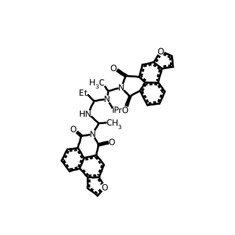 CCC(NC(C)N1C(=O)c2cccc3c2c(cc2occc23)C1=O)N(C(C)C)C(C)N1C(=O)c2cccc3c2c(cc2occc23)C1=O